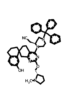 CN1CCC[C@H]1COc1nc2c(c(N3CCN(C(c4ccccc4)(c4ccccc4)c4ccccc4)C[C@@H]3CC#N)n1)CCC1(CCCc3ccc(O)cc31)C2